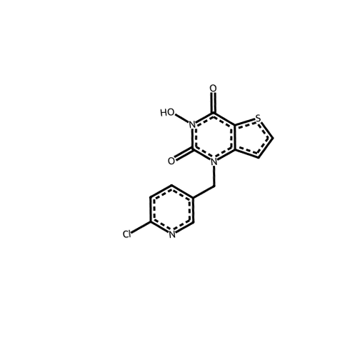 O=c1c2sccc2n(Cc2ccc(Cl)nc2)c(=O)n1O